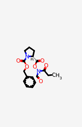 CCC(=O)N(C=O)OC(=O)[C@H]1CCCN1C(=O)OCc1ccccc1